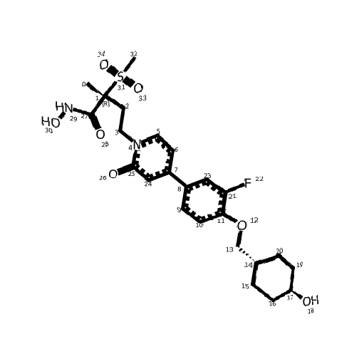 C[C@@](CCn1ccc(-c2ccc(OC[C@H]3CC[C@H](O)CC3)c(F)c2)cc1=O)(C(=O)NO)S(C)(=O)=O